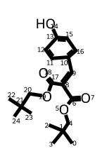 CC(C)(C)COC(=O)C(=Cc1ccc(O)cc1)C(=O)OCC(C)(C)C